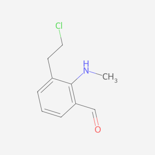 CNc1c(C=O)cccc1CCCl